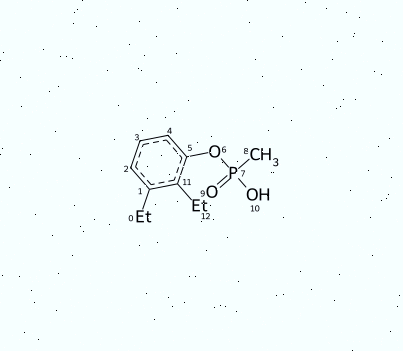 CCc1cccc(OP(C)(=O)O)c1CC